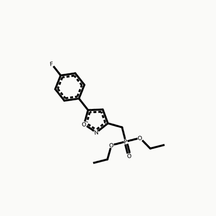 CCOP(=O)(Cc1cc(-c2ccc(F)cc2)on1)OCC